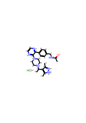 CC(=O)NCc1ccc(-c2nccnc2N2CCN(C(C)c3c(C)n[nH]c3C)CC2)cc1.Cl